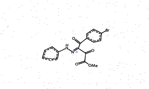 COC(=O)C(=O)/C(=N/Nc1ccccc1)C(=O)c1ccc(Br)cc1